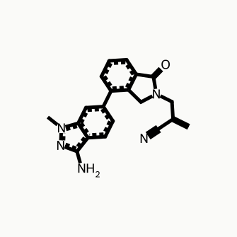 C=C(C#N)CN1Cc2c(cccc2-c2ccc3c(N)nn(C)c3c2)C1=O